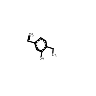 C=Cc1ccc(CC)c(O)c1